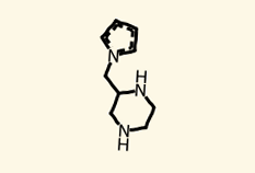 c1ccn(CC2CNCCN2)c1